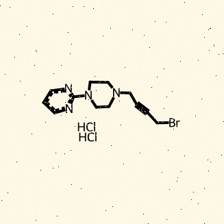 BrCC#CCN1CCN(c2ncccn2)CC1.Cl.Cl